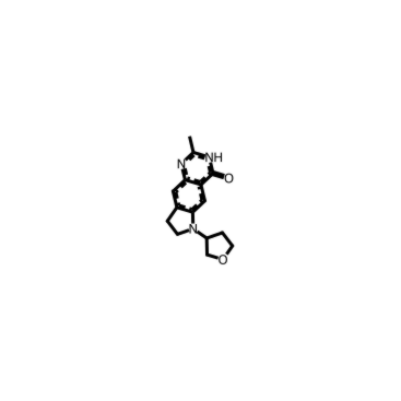 Cc1nc2cc3c(cc2c(=O)[nH]1)N(C1CCOC1)CC3